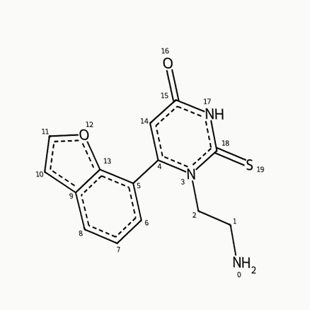 NCCn1c(-c2cccc3ccoc23)cc(=O)[nH]c1=S